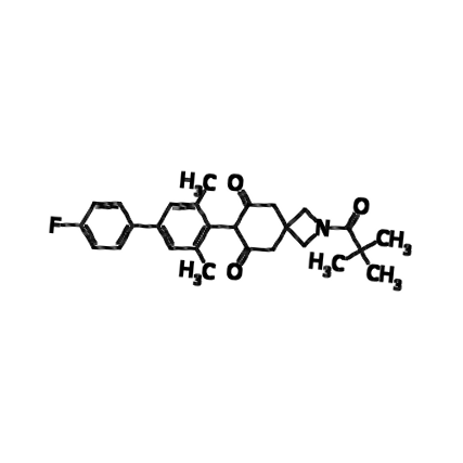 Cc1cc(-c2ccc(F)cc2)cc(C)c1C1C(=O)CC2(CC1=O)CN(C(=O)C(C)(C)C)C2